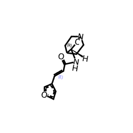 O=C(/C=C/c1ccoc1)N[C@H]1CN2CCC1CC2